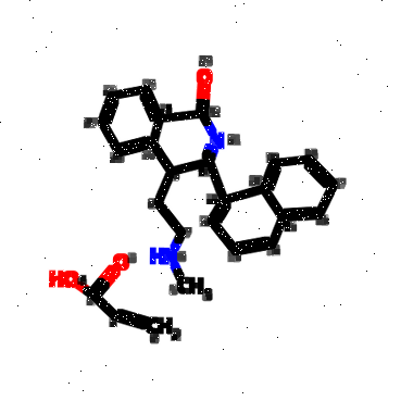 C=CC(=O)O.CNCCC1C(c2cccc3ccccc23)=NC(=O)c2ccccc21